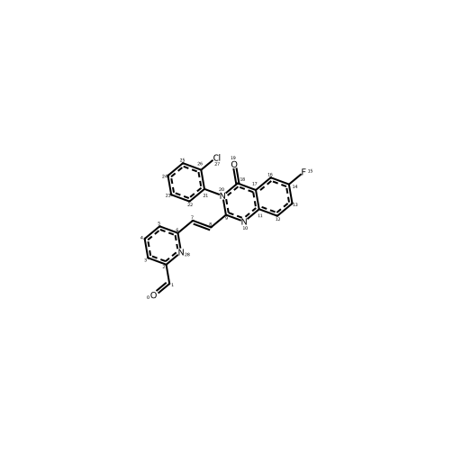 O=Cc1cccc(C=Cc2nc3ccc(F)cc3c(=O)n2-c2ccccc2Cl)n1